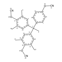 Cc1cc(C(C)(c2ccc(OC#N)cc2)c2cc(C)c(OC#N)c(C)c2)cc(C)c1OC#N